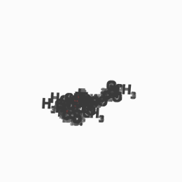 Cc1cc(C2(c3cc(C)c(N4C(=O)c5ccc(Oc6ccc7c(c6)C(=O)N(C)C7=O)cc5C4=O)c(C(O)(C(F)(F)F)C(F)(F)F)c3)c3ccccc3-c3ccccc32)cc(C(C)(O)C(F)(F)F)c1C